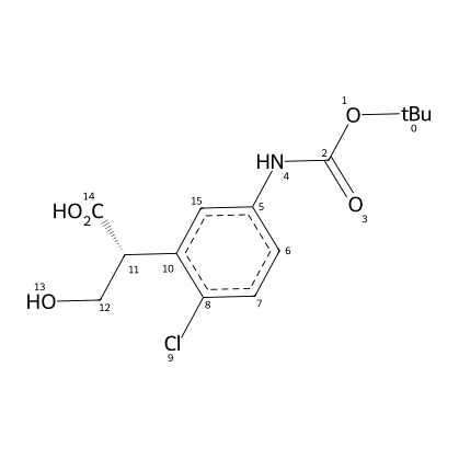 CC(C)(C)OC(=O)Nc1ccc(Cl)c([C@H](CO)C(=O)O)c1